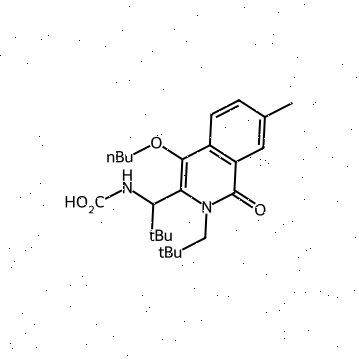 CCCCOc1c(C(NC(=O)O)C(C)(C)C)n(CC(C)(C)C)c(=O)c2cc(C)ccc12